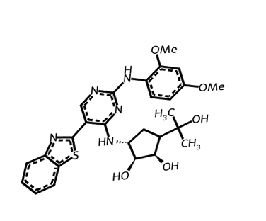 COc1ccc(Nc2ncc(-c3nc4ccccc4s3)c(N[C@@H]3CC(C(C)(C)O)[C@@H](O)[C@H]3O)n2)c(OC)c1